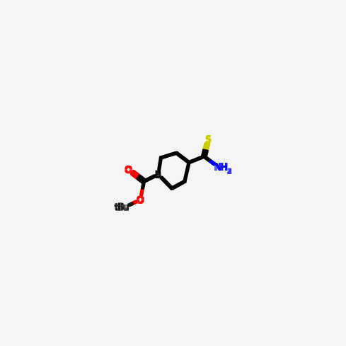 CC(C)(C)OC(=O)B1CCC(C(N)=S)CC1